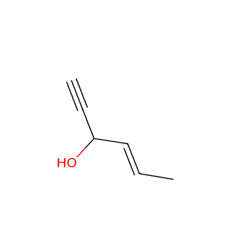 C#CC(O)/C=C/C